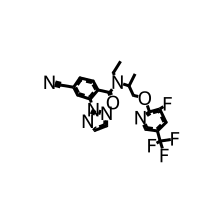 CCN(C(=O)c1ccc(C#N)cc1-n1nccn1)C(C)COc1ncc(C(F)(F)F)cc1F